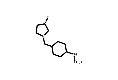 O=C(O)NC1CCC(CN2CC[C@@H](F)C2)CC1